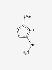 CSc1ccc(NN)[nH]1